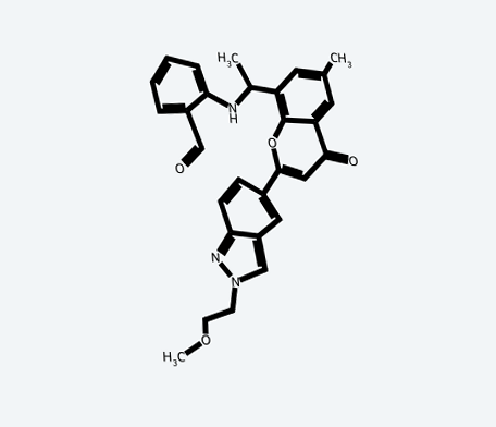 COCCn1cc2cc(-c3cc(=O)c4cc(C)cc(C(C)Nc5ccccc5C=O)c4o3)ccc2n1